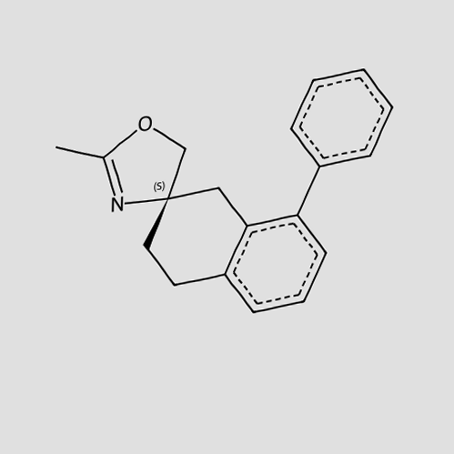 CC1=N[C@]2(CCc3cccc(-c4ccccc4)c3C2)CO1